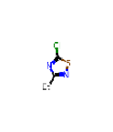 CCc1nsc(Cl)n1